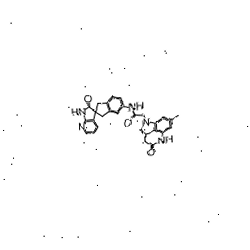 Cc1cc2c3c(c1)N(CC(=O)Nc1ccc4c(c1)CC1(C4)C(=O)Nc4ncccc41)CC3CC(=O)N2